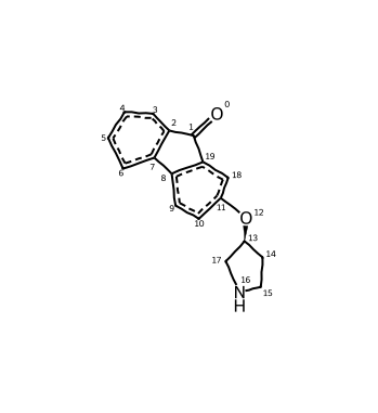 O=C1c2ccccc2-c2ccc(O[C@H]3CCNC3)cc21